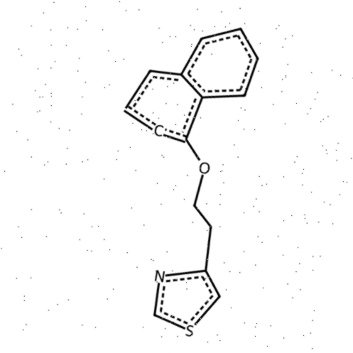 c1ccc2c(OCCc3cscn3)cccc2c1